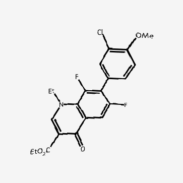 CCOC(=O)c1cn(CC)c2c(F)c(-c3ccc(OC)c(Cl)c3)c(F)cc2c1=O